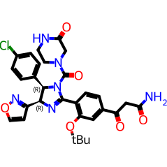 CC(C)(C)Oc1cc(C(=O)CC(N)=O)ccc1C1=N[C@@H](c2ccon2)[C@@H](c2ccc(Cl)cc2)N1C(=O)N1CCNC(=O)C1